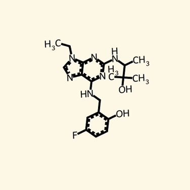 CCn1cnc2c(NCc3cc(F)ccc3O)nc(NC(C)C(C)(C)O)nc21